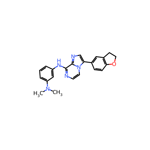 CN(C)c1cccc(Nc2nccn3c(-c4ccc5c(c4)CCO5)cnc23)c1